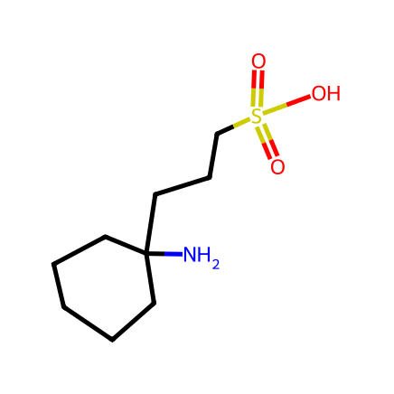 NC1(CCCS(=O)(=O)O)CCCCC1